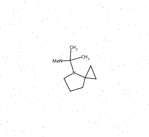 CNC(C)(C)N1CCCC12CC2